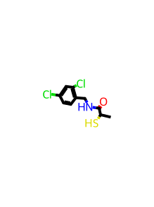 CC(S)C(=O)NCc1ccc(Cl)cc1Cl